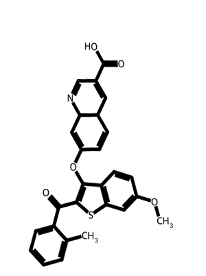 COc1ccc2c(OC3=CC4N=CC(C(=O)O)=CC4C=C3)c(C(=O)c3ccccc3C)sc2c1